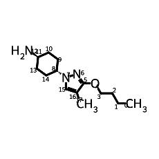 CCCCOc1nn([C@H]2CC[C@H](N)CC2)cc1C